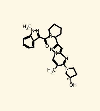 Cc1cn2nc(C3CCCCN3C(=O)c3nn(C)c4ccccc34)cc2nc1N1CC[C@@H](O)C1